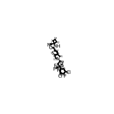 N#CC1(NC(=O)c2cc3c(s2)CN(C2=NOC(c4cc(Cl)c(F)c(Cl)c4)(C(F)(F)F)C2)C3)CCC1